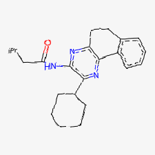 CC(C)CC(=O)Nc1nc2c(nc1C1CCCCC1)-c1ccccc1CC2